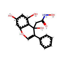 O=C(CC1(O)C(c2ccccc2)=COc2cc(O)cc(O)c21)NO